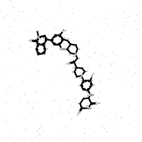 COc1cc(-c2cn(C)c(=O)c3ccccc23)cc(F)c1CC1CCN(CC(=O)C2CCN(c3ccc(NC4CCC(=O)NC4=O)cc3F)CC2)CC1